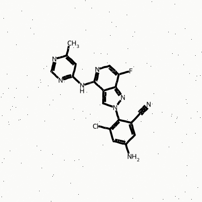 Cc1cc(Nc2ncc(F)c3nn(-c4c(Cl)cc(N)cc4C#N)cc23)ncn1